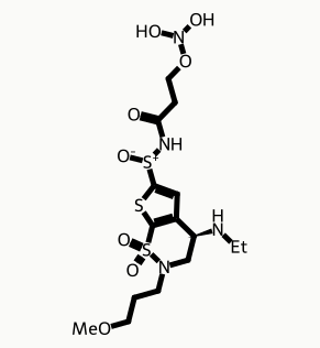 CCN[C@H]1CN(CCCOC)S(=O)(=O)c2sc([S+]([O-])NC(=O)CCON(O)O)cc21